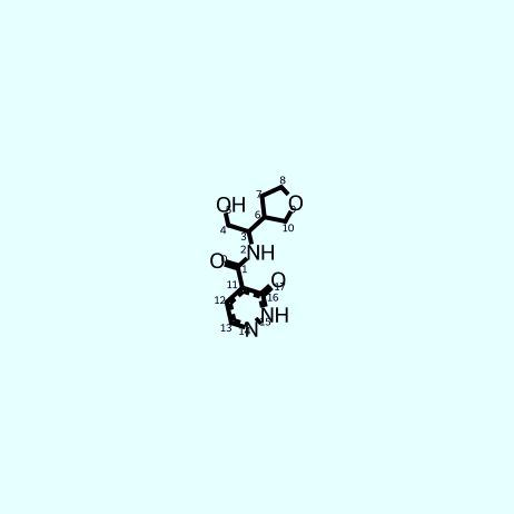 O=C(NC(CO)C1CCOC1)c1ccn[nH]c1=O